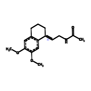 COc1cc2c(cc1OC)/C(=C/CNC(C)=O)CCC2